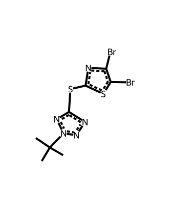 CC(C)(C)n1nnc(Sc2nc(Br)c(Br)s2)n1